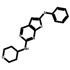 c1ccc(Sc2cc3cnc(NC4CCOCC4)nc3s2)cc1